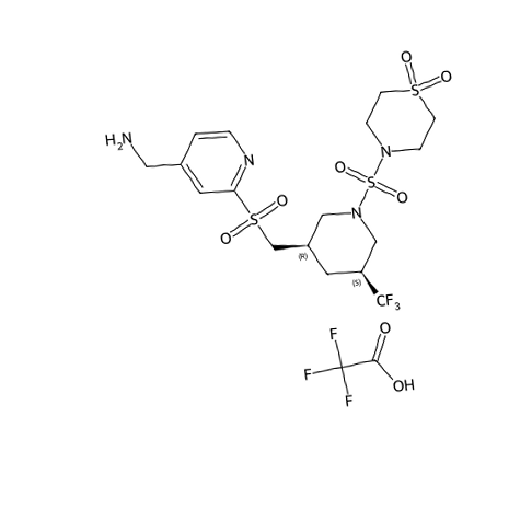 NCc1ccnc(S(=O)(=O)C[C@@H]2C[C@H](C(F)(F)F)CN(S(=O)(=O)N3CCS(=O)(=O)CC3)C2)c1.O=C(O)C(F)(F)F